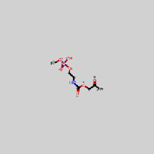 CC(C)OP(=O)(O)OCCNC(=O)OCC(=O)C(C)C